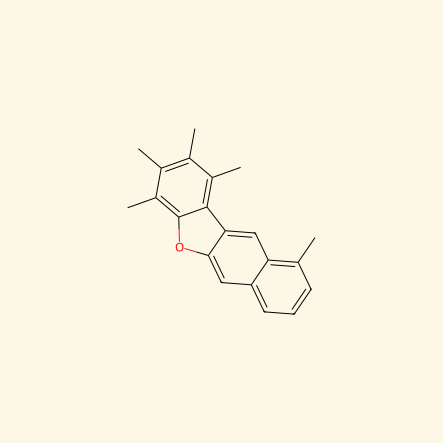 Cc1c(C)c(C)c2c(oc3cc4cccc(C)c4cc32)c1C